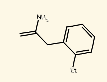 C=C(N)Cc1ccccc1CC